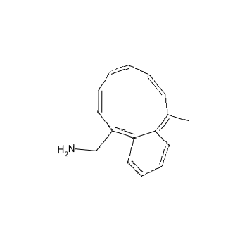 Cc1ccccccc(CN)c2ccccc12